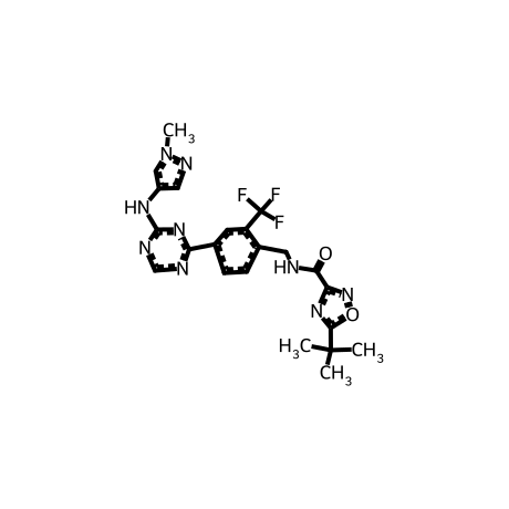 Cn1cc(Nc2ncnc(-c3ccc(CNC(=O)c4noc(C(C)(C)C)n4)c(C(F)(F)F)c3)n2)cn1